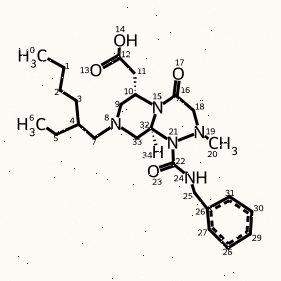 CCCCC(CC)CN1C[C@H](CC(=O)O)N2C(=O)CN(C)N(C(=O)NCc3ccccc3)[C@H]2C1